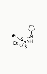 CCOP(=S)(N/C=N/C1CCCC1)SCC(C)C